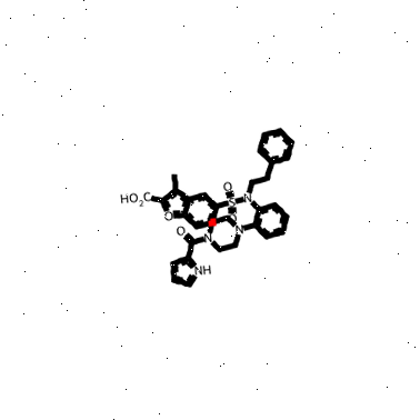 Cc1c(C(=O)O)oc2ccc(S(=O)(=O)N(CCc3ccccc3)c3ccccc3N3CCN(C(=O)c4ccc[nH]4)CC3)cc12